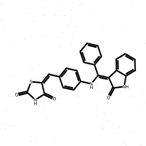 O=C1NC(=O)/C(=C\c2ccc(N/C(=C3\C(=O)Nc4ccccc43)c3ccccc3)cc2)S1